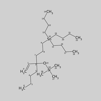 C=CC(CCCC)(CC[CH2][Sn]([CH2]CCC)([CH2]CCC)[CH2]CCC)O[Si](C)(C)C